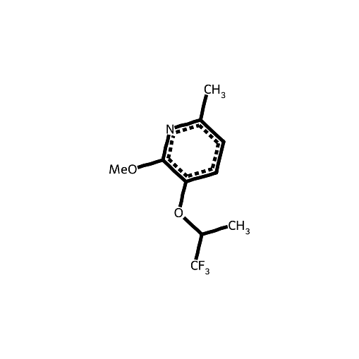 COc1nc(C)ccc1OC(C)C(F)(F)F